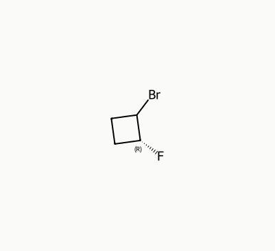 F[C@@H]1CCC1Br